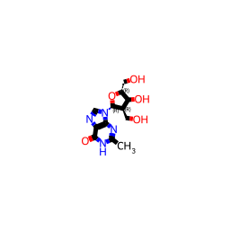 Cc1nc2c(ncn2[C@@H]2O[C@H](CO)C(O)[C@H]2CO)c(=O)[nH]1